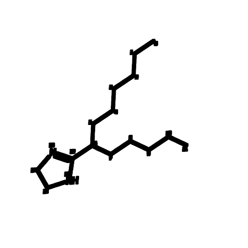 CCCCCCC(CCCCC)C1=NCCN1